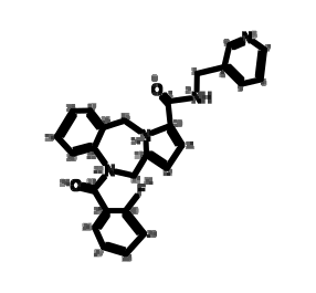 O=C(NCc1cccnc1)c1ccc2n1Cc1ccccc1N(C(=O)c1ccccc1F)C2